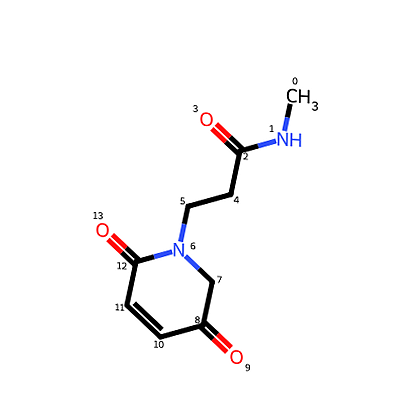 CNC(=O)CCN1CC(=O)C=CC1=O